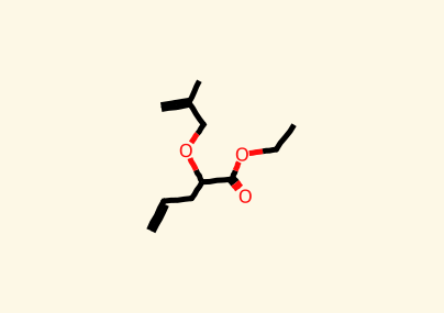 C=CCC(OCC(=C)C)C(=O)OCC